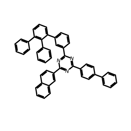 c1ccc(-c2ccc(-c3nc(-c4cccc(-c5cccc(-c6ccccc6)c5-c5ccccc5)c4)nc(-c4ccc5ccccc5c4)n3)cc2)cc1